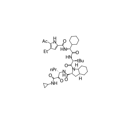 CCC[C@H](NC(=O)[C@@H]1C[C@@H]2CCCC[C@@H]2N1C(=O)[C@@H](NC(=O)[C@@H](NC(=O)c1cc(CC)c(C(C)=O)[nH]1)C1CCCCC1)C(C)(C)C)C(=O)C(=O)NC1CC1